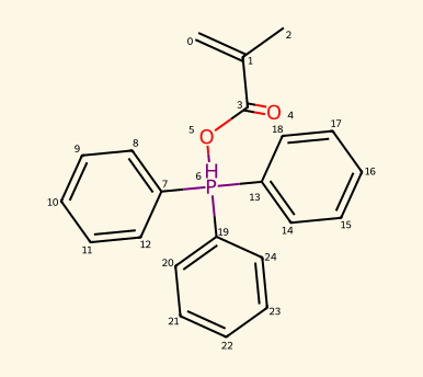 C=C(C)C(=O)O[PH](c1ccccc1)(c1ccccc1)c1ccccc1